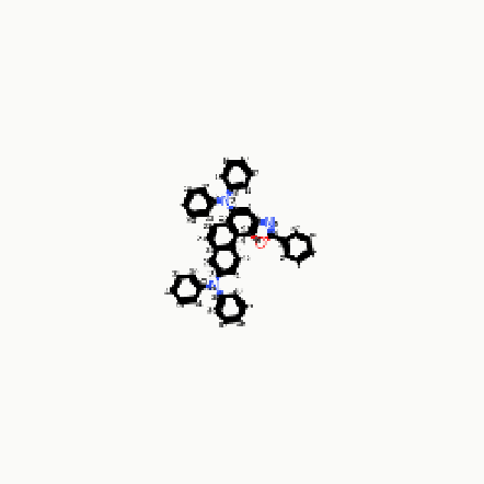 c1ccc(-c2nc3cc(N(c4ccccc4)c4ccccc4)c4ccc5cc(N(c6ccccc6)c6ccccc6)ccc5c4c3o2)cc1